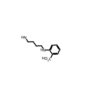 [NH]CCCCNc1ccccc1C(=O)O